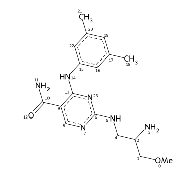 COCC(N)CNc1ncc(C(N)=O)c(Nc2cc(C)cc(C)c2)n1